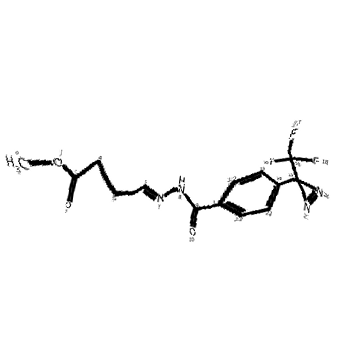 COC(=O)CCC=NNC(=O)c1ccc(C2(C(F)(F)F)N=N2)cc1